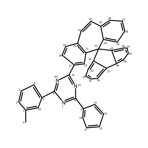 Cc1cccc(-c2nc(-c3ccccc3)nc(-c3ccc4c(c3)C3(c5ccccc5C=C4)c4ccccc4-c4ccccc43)n2)c1